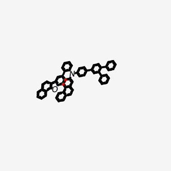 c1ccc(-c2ccc(-c3ccc(N(c4ccc5c(ccc6ccccc65)c4)c4ccccc4-c4ccc5oc6c7ccccc7ccc6c5c4)cc3)cc2-c2ccccc2)cc1